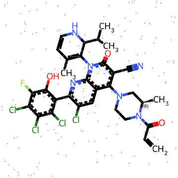 C=CC(=O)N1CCN(c2c(C#N)c(=O)n(C3=C(C)C=CNC3C(C)C)c3nc(-c4c(O)c(F)c(Cl)c(Cl)c4Cl)c(Cl)cc23)C[C@H]1C